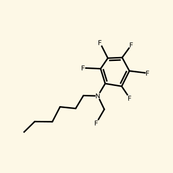 CCCCCCN(CF)c1c(F)c(F)c(F)c(F)c1F